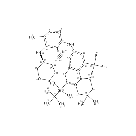 Cc1cnc(Nc2cc(CO[Si](C)(C)C(C)(C)C)c(B3OCC(C)(C)CO3)c(C(F)(F)F)c2)nc1N[C@@H]1COCC[C@H]1C#N